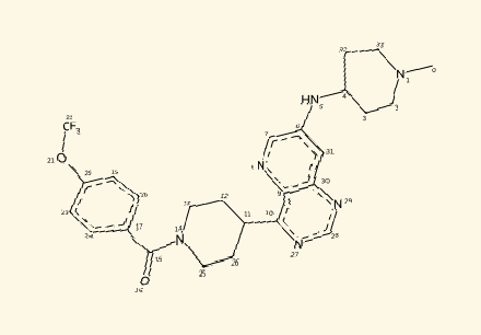 CN1CCC(Nc2cnc3c(C4CCN(C(=O)c5ccc(OC(F)(F)F)cc5)CC4)ncnc3c2)CC1